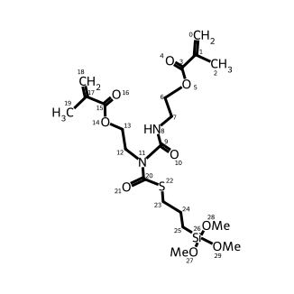 C=C(C)C(=O)OCCNC(=O)N(CCOC(=O)C(=C)C)C(=O)SCCC[Si](OC)(OC)OC